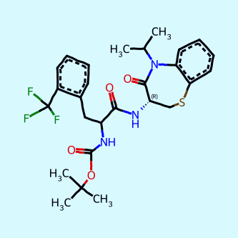 CC(C)N1C(=O)[C@@H](NC(=O)C(Cc2ccccc2C(F)(F)F)NC(=O)OC(C)(C)C)CSc2ccccc21